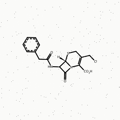 O=C(Cc1ccccc1)NC1C(=O)N2C(C(=O)O)=C(CCl)CS[C@@H]12